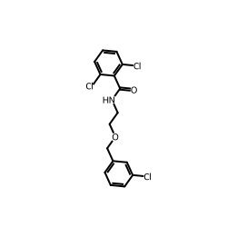 O=C(NCCOCc1cccc(Cl)c1)c1c(Cl)cccc1Cl